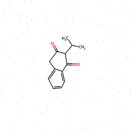 CC(C)C1C(=O)Cc2ccccc2C1=O